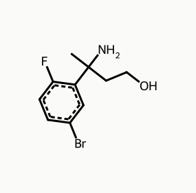 CC(N)(CCO)c1cc(Br)ccc1F